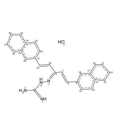 Cl.N=C(N)NN=C(C=Cc1ccc2ccccc2c1)C=Cc1ccc2ccccc2c1